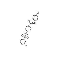 CC(C)(C1CCN(C(=O)Nc2ccc(Cl)nc2)CC1)S(=O)(=O)c1cccc(F)c1